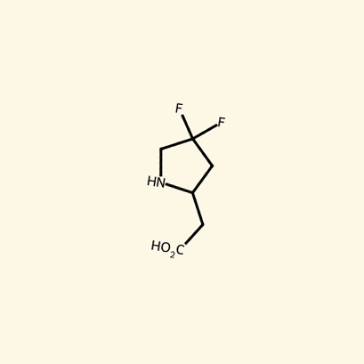 O=C(O)CC1CC(F)(F)CN1